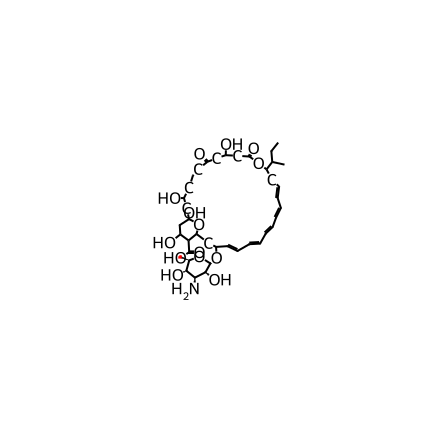 CCC(C)C1C/C=C/C=C/C=C/C=C/C=C/C(O[C@@H]2O[C@H](C)[C@@H](O)[C@H](N)[C@@H]2O)CC2OC(O)(CC(O)CCCC(=O)CC(O)CC(=O)O1)CC(O)C2C(=O)O